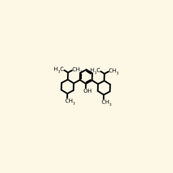 CC1CCC(C(C)C)C(c2cccc(C3CC(C)CCC3C(C)C)c2O)C1